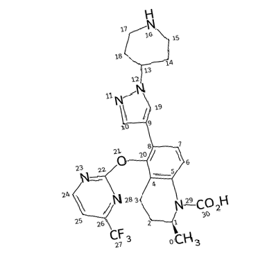 C[C@H]1CCc2c(ccc(-c3cnn(C4CCNCC4)c3)c2Oc2nccc(C(F)(F)F)n2)N1C(=O)O